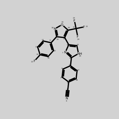 N#Cc1ccc(-c2nc(-c3c(-c4ccc(F)cc4)noc3C(F)(F)F)c[nH]2)cc1